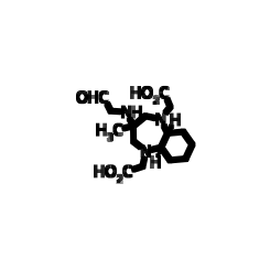 CC1(NCC=O)CN(CC(=O)O)[C@@H]2CCCC[C@H]2N(CC(=O)O)C1